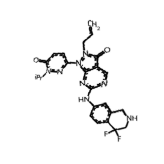 C=CCn1c(=O)c2cnc(Nc3ccc4c(c3)CNCC4(F)F)nc2n1-c1ccc(=O)n(C(C)C)n1